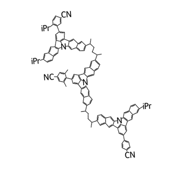 Cc1cc(C#N)cc(C)c1-c1cc2c3cc4cc(C(C)CCC(C)c5ccc6cc7c(cc6c5)c5cc(-c6ccc(C#N)cc6)cc6c8cc9cc(C(C)C)ccc9cc8n7c65)ccc4cc3n3c4cc5ccc(C(C)CCC(C)c6ccc7cc8c(cc7c6)c6cc(-c7cc(C#N)ccc7C(C)C)cc7c9cc%10cc(C(C)C)ccc%10cc9n8c76)cc5cc4c(c1)c23